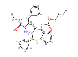 CCCCOC(=O)CN1C(=O)C(NC(CCc2ccccc2)C(=O)OCC)C(c2ccccc2)Sc2ccccc21